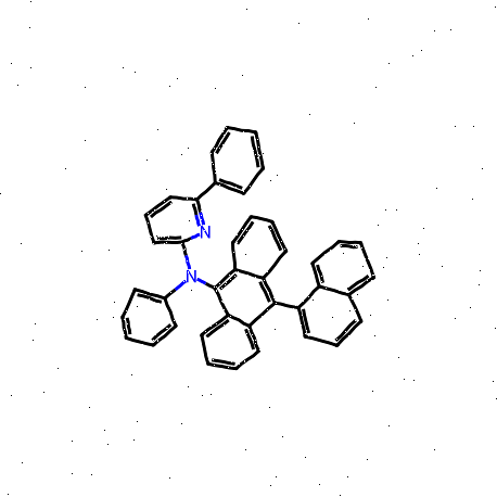 c1ccc(-c2cccc(N(c3ccccc3)c3c4ccccc4c(-c4cccc5ccccc45)c4ccccc34)n2)cc1